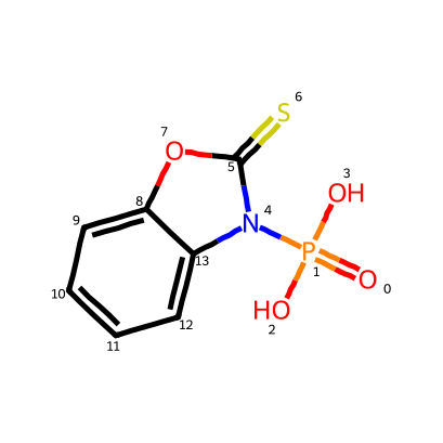 O=P(O)(O)n1c(=S)oc2ccccc21